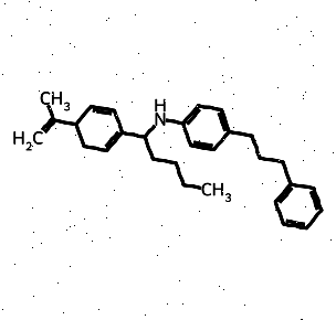 C=C(C)C1C=CC(C(CCCC)Nc2ccc(CCCc3ccccc3)cc2)=CC1